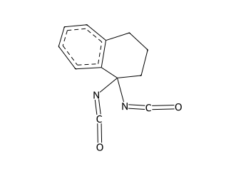 O=C=NC1(N=C=O)CCCc2ccccc21